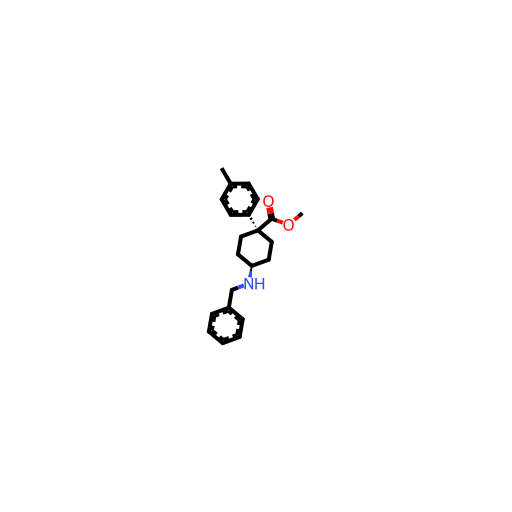 COC(=O)[C@]1(c2ccc(C)cc2)CC[C@H](NCc2ccccc2)CC1